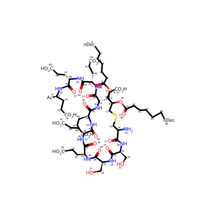 CCCCCCCCCCCCCCCC(=O)OCC(CSCC(N)C(=O)N[C@@H](CO)C(=O)N[C@@H](CO)C(=O)N[C@@H](CCC(=O)O)C(=O)N[C@@H](CCC(=O)O)C(=O)N[C@@H](CCC(=O)O)C(=O)N[C@@H](CCC(=O)O)C(=O)N[C@@H](CCC(=O)O)C(=O)N[C@@H](CCC(=O)O)C(=O)N[C@@H](CCC(=O)O)C(C)=O)OC(=O)CCCCCCCCCCCCCCC